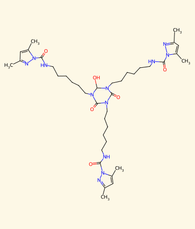 Cc1cc(C)n(C(=O)NCCCCCCN2C(=O)N(CCCCCCNC(=O)n3nc(C)cc3C)C(O)N(CCCCCCNC(=O)n3nc(C)cc3C)C2=O)n1